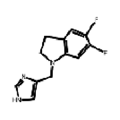 Fc1cc2c(cc1F)N(Cc1c[nH]cn1)CC2